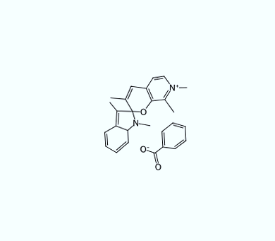 CC1=Cc2cc[n+](C)c(C)c2OC12C(C)=C1C=CC=CC1N2C.O=C([O-])c1ccccc1